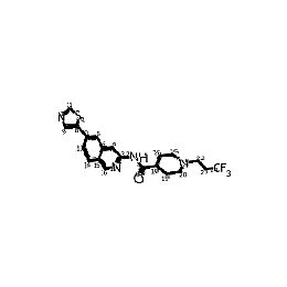 O=C(Nc1cc2cc(-c3cncs3)ccc2cn1)C1CCN(CCC(F)(F)F)CC1